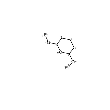 CCOC1CCCC(OCC)O1